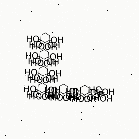 O=P(O)(O)O.OC1(O)CCCC(O)(O)C1(O)O.OC1(O)CCCC(O)(O)C1(O)O.OC1(O)CCCC(O)(O)C1(O)O.OC1(O)CCCC(O)(O)C1(O)O.OC1(O)CCCC(O)(O)C1(O)O.OC1(O)CCCC(O)(O)C1(O)O